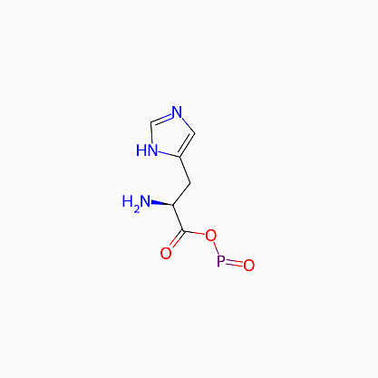 N[C@@H](Cc1cnc[nH]1)C(=O)OP=O